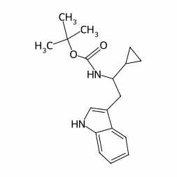 CC(C)(C)OC(=O)NC(Cc1c[nH]c2ccccc12)C1CC1